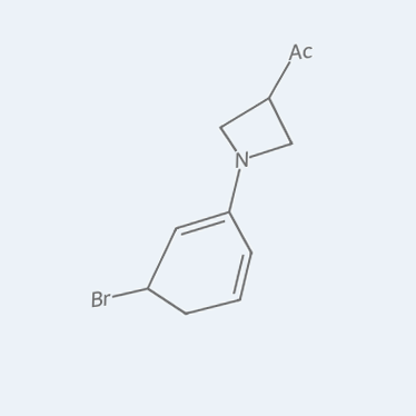 CC(=O)C1CN(C2=CC(Br)CC=C2)C1